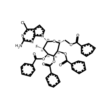 Nc1nc(Cl)c2ccn([C@@H]3O[C@H](COC(=O)c4ccccc4)[C@@H](OC(=O)c4ccccc4)[C@@H](OC(=O)c4ccccc4)[C@@H](OC(=O)c4ccccc4)[C@@H]3F)c2n1